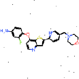 Nc1ccc(Oc2ccnc3cc(-c4ccc(CN5CCOCC5)cn4)sc23)c(F)c1